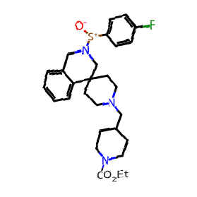 CCOC(=O)N1CCC(CN2CCC3(CC2)CN([S+]([O-])c2ccc(F)cc2)Cc2ccccc23)CC1